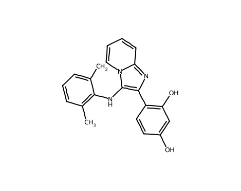 Cc1cccc(C)c1Nc1c(-c2ccc(O)cc2O)nc2ccccn12